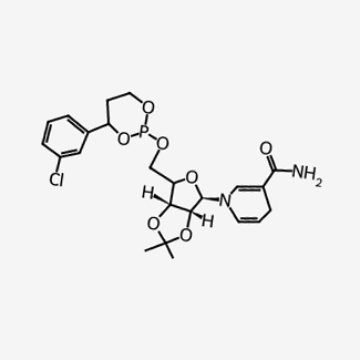 CC1(C)O[C@@H]2[C@H](O1)C(COP1OCCC(c3cccc(Cl)c3)O1)O[C@H]2N1C=CCC(C(N)=O)=C1